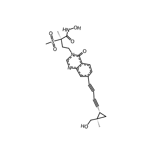 C[C@@]1(CO)C[C@H]1C#CC#Cc1ccc2c(=O)n(CC[C@](C)(C(=O)NO)S(C)(=O)=O)cnc2c1